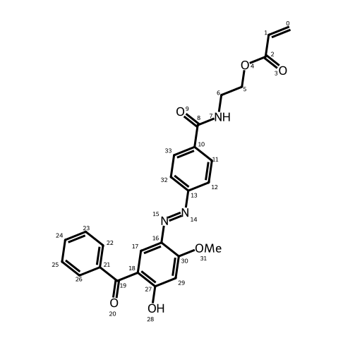 C=CC(=O)OCCNC(=O)c1ccc(/N=N/c2cc(C(=O)c3ccccc3)c(O)cc2OC)cc1